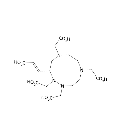 O=C(O)C=CC1CN(CC(=O)O)CCN(CC(=O)O)CCN(CC(=O)O)N1CC(=O)O